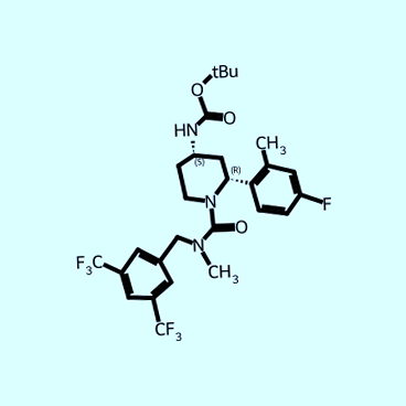 Cc1cc(F)ccc1[C@H]1C[C@@H](NC(=O)OC(C)(C)C)CCN1C(=O)N(C)Cc1cc(C(F)(F)F)cc(C(F)(F)F)c1